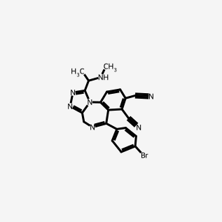 CNC(C)c1nnc2n1-c1ccc(C#N)c(C#N)c1C(c1ccc(Br)cc1)=NC2